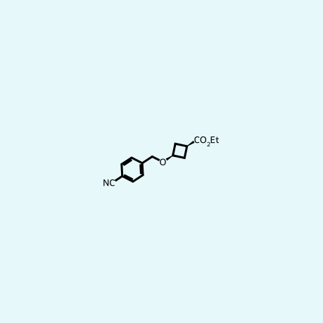 CCOC(=O)[C@H]1C[C@@H](OCc2ccc(C#N)cc2)C1